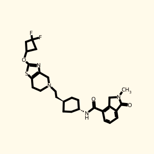 CN1Cc2c(C(=O)N[C@H]3CC[C@H](CCN4CCc5sc(OC6CC(F)(F)C6)nc5C4)CC3)cccc2C1=O